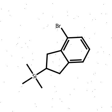 C[Si](C)(C)C1Cc2cccc(Br)c2C1